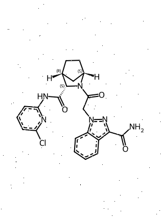 NC(=O)c1nn(CC(=O)N2[C@H]3CC[C@H](C3)[C@H]2C(=O)Nc2cccc(Cl)n2)c2ccccc12